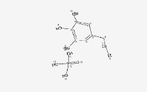 C[CH2][Ca][CH2]c1cc(C(C)(C)C)c(O)c(C(C)(C)C)c1.O=P(O)(O)O